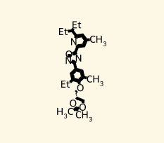 CCc1cc(-c2noc(-c3cc(C)cc(C(CC)CC)n3)n2)cc(C)c1OC[C@@H]1COC(C)(C)O1